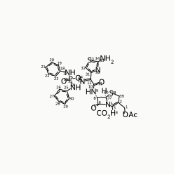 CC(=O)OCC1=C(C(=O)O)N2C(=O)[C@H](NC(=O)C(=NOP(=O)(Nc3ccccc3)Nc3ccccc3)c3csc(N)n3)[C@H]2SC1